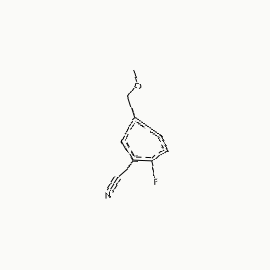 COCc1ccc(F)c(C#N)c1